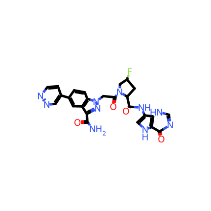 NC(=O)c1nn(CC(=O)N2CC(F)CC2C(=O)Nc2c[nH]c3c(=O)nc[nH]c23)c2ccc(-c3ccnnc3)cc12